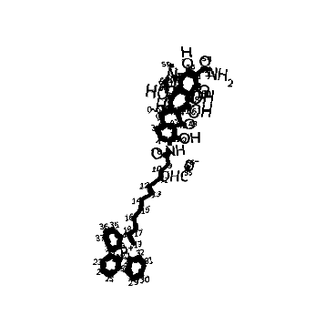 C[C@H]1c2ccc(NC(=O)CCCCCCCCCCC[P+](c3ccccc3)(c3ccccc3)c3ccccc3)c(O)c2C(=O)C2=C(O)[C@]3(O)C(=O)C(C(N)=O)=C(O)[C@@H](N(C)C)[C@@H]3[C@@H](O)[C@@H]21.O=C[O-]